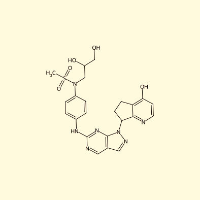 CS(=O)(=O)N(CC(O)CO)c1ccc(Nc2ncc3cnn(C4CCc5c(O)ccnc54)c3n2)cc1